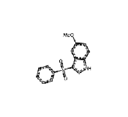 COc1ccc2[nH][c]c(S(=O)(=O)c3ccccc3)c2c1